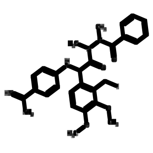 COc1ccc(C(Nc2ccc(C(=N)N)cc2)C(=O)N(C)N(C)C(=O)c2ccccc2)c(CI)c1OC